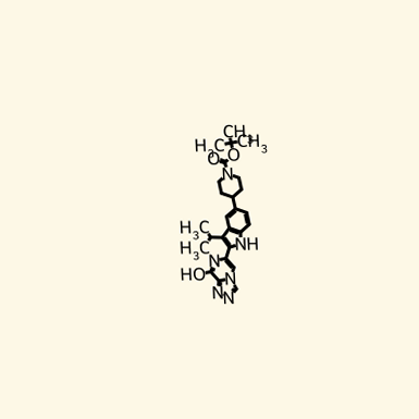 CC(C)c1c(-c2cn3cnnc3c(O)n2)[nH]c2ccc(C3CCN(C(=O)OC(C)(C)C)CC3)cc12